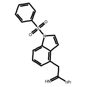 CCCC(=N)Cc1cccc2c1ccn2S(=O)(=O)c1ccccc1